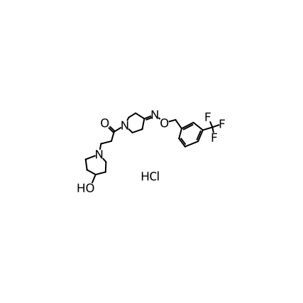 Cl.O=C(CCN1CCC(O)CC1)N1CCC(=NOCc2cccc(C(F)(F)F)c2)CC1